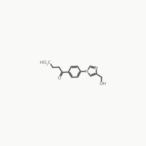 O=C(O)CCC(=O)c1ccc(-n2cnc(CO)c2)cc1